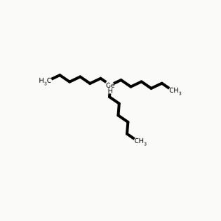 CCCCC[CH2][GeH]([CH2]CCCCC)[CH2]CCCCC